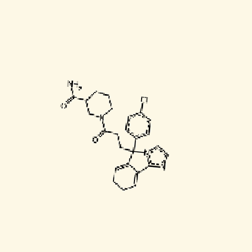 NC(=O)C1CCCN(C(=O)CCC2(c3ccc(Cl)cc3)C3=CCCC=C3c3nccn32)C1